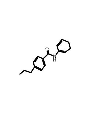 CCCc1ccc(C(=O)NC2=CCCC=C2)cc1